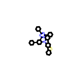 c1ccc(-c2ccc(-n3c4ccccc4c4cc5sc6ccccc6c5cc43)c(-c3nc(-c4ccccc4)nc(-c4ccccc4)n3)c2)cc1